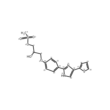 CS(=O)(=O)OCC(O)COc1ccc(-c2nc(-c3cccs3)c[nH]2)cc1